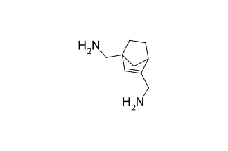 NCC1=CC2(CN)CCC1C2